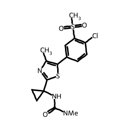 CNC(=O)NC1(c2nc(C)c(-c3ccc(Cl)c(S(C)(=O)=O)c3)s2)CC1